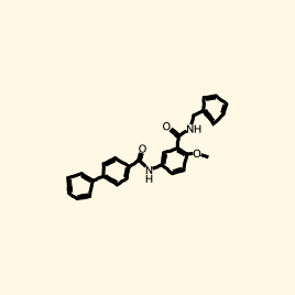 COc1ccc(NC(=O)c2ccc(-c3ccccc3)cc2)cc1C(=O)NCc1ccccc1